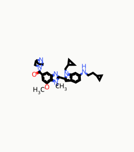 COc1cc(C(=O)N2CC3C4C2N34)cc2nc(-c3cc4ccc(NCCC5CC5)cc4n3CC3CC3)n(C)c12